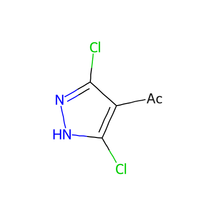 CC(=O)c1c(Cl)n[nH]c1Cl